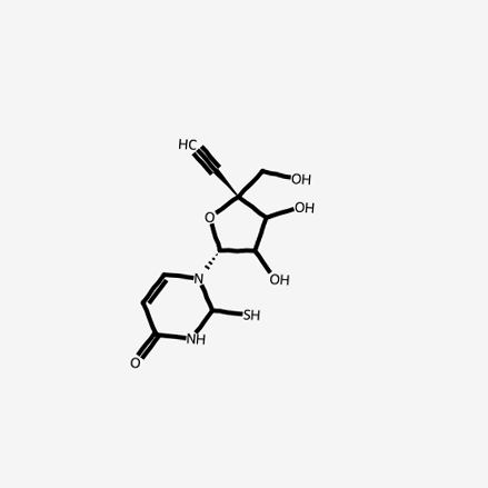 C#C[C@]1(CO)O[C@@H](N2C=CC(=O)NC2S)C(O)C1O